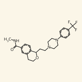 CNC(=O)c1ccc2c(c1)CCOC2CCN1CCN(c2ccc(C(F)(F)F)cc2)CC1